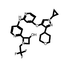 OC1CN(CC(F)(F)F)C1c1cc(Nc2cc(Oc3cn(C4CC4)nc3C3CCOCC3)ccn2)ccn1